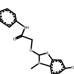 CN1c2ccc(Cl)cc2SC1OCC(=O)Nc1ccccc1